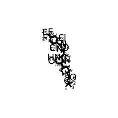 CC(C)(C)OC(=O)N1CCC(c2cc(=O)[nH]c3c(-c4nc(-c5c(Cl)cc(C(F)(F)F)cc5Cl)no4)cnn23)CC1